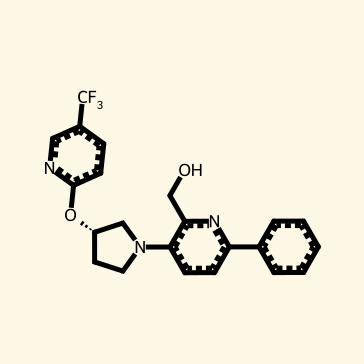 OCc1nc(-c2ccccc2)ccc1N1CC[C@H](Oc2ccc(C(F)(F)F)cn2)C1